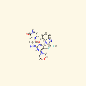 C[C@H](Nc1nc(N2CCOCC2)cc(-n2c(C(F)F)nc3ccccc32)n1)C(=O)N1CCN(C)C(=O)C1